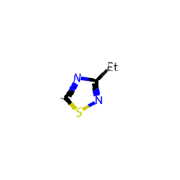 CCc1n[c]sn1